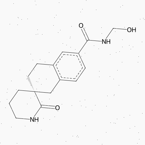 O=C(NCO)c1ccc2c(c1)CC[C@]1(CCCNC1=O)C2